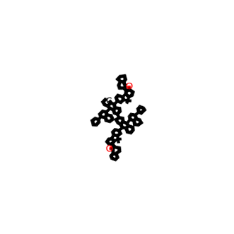 CC1(C)c2cc(-c3c4ccccc4c(-c4ccc(-c5ccccc5)c5ccccc45)c4cc(-c5ccc6c(-c7ccc8c(c7)C(C)(C)c7c-8ccc8oc9c%10ccccc%10ccc9c78)c7ccccc7c(-c7ccc(-c8ccccc8)c8ccccc78)c6c5)ccc34)ccc2-c2c1ccc1oc3c4ccccc4ccc3c21